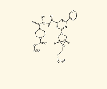 CCCCOC(=O)N1CCN(C(=O)[C@@H](NC(=O)c2cc(N3C[C@@H]4[C@H](CCC(=O)O)[C@@H]4C3)nc(-c3ccccc3)n2)C(C)C)CC1